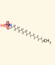 CCCCCCCCCCCCCCCCCC[N]S(=O)(=O)O